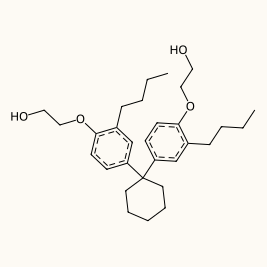 CCCCc1cc(C2(c3ccc(OCCO)c(CCCC)c3)CCCCC2)ccc1OCCO